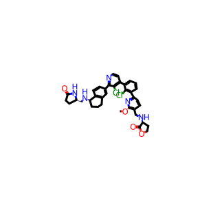 COc1nc(-c2cccc(-c3ccnc(-c4ccc5c(c4)CCC[C@@H]5NC[C@@H]4CCC(=O)N4)c3Cl)c2Cl)ccc1CN[C@H]1CCOC1=O